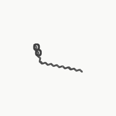 CCCC/C=C/CCCCCCCC/C=C\CCOCOC